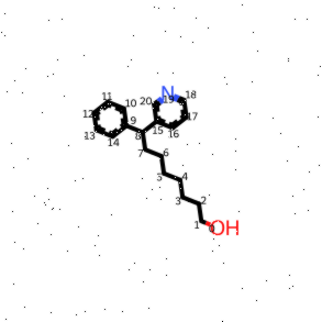 OCCCCCCCC(c1ccccc1)c1cccnc1